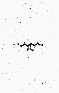 CNC.NCCCCCCN